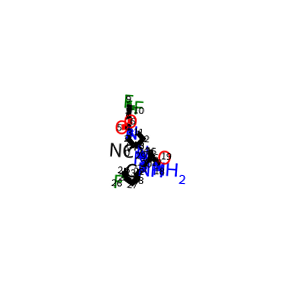 N#C[C@H]1CN(C(=O)OCC(F)F)CC[C@H]1n1cc(C(N)=O)c(Nc2ccc(F)cc2)n1